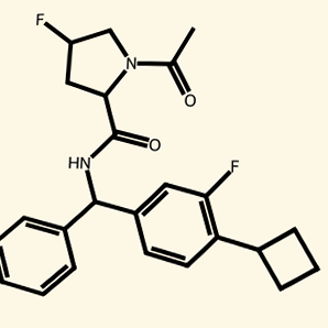 CC(=O)N1CC(F)CC1C(=O)NC(c1ccccc1)c1ccc(C2CCC2)c(F)c1